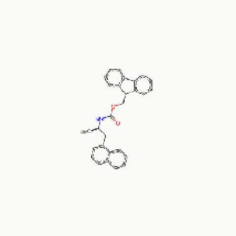 O=C[C@H](Cc1cccc2ccccc12)NC(=O)OCC1c2ccccc2-c2ccccc21